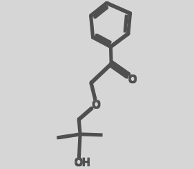 CC(C)(O)COCC(=O)c1ccccc1